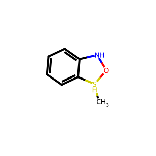 C[SH]1ONc2ccccc21